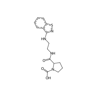 O=C(NCCNc1nsc2ccccc12)C1CCCN1C(=O)O